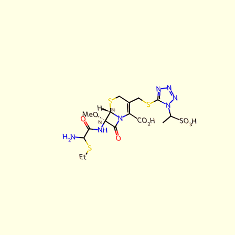 CCSC(N)C(=O)N[C@]1(OC)C(=O)N2C(C(=O)O)=C(CSc3nnnn3C(C)S(=O)(=O)O)CS[C@H]21